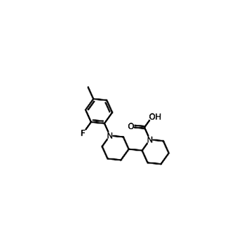 Cc1ccc(N2CCCC(C3CCCCN3C(=O)O)C2)c(F)c1